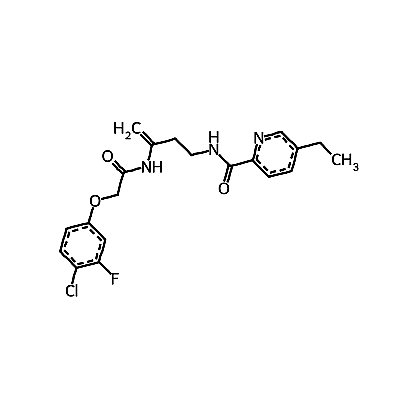 C=C(CCNC(=O)c1ccc(CC)cn1)NC(=O)COc1ccc(Cl)c(F)c1